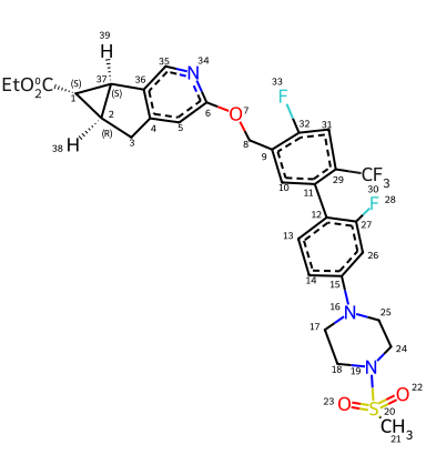 CCOC(=O)[C@H]1[C@@H]2Cc3cc(OCc4cc(-c5ccc(N6CCN(S(C)(=O)=O)CC6)cc5F)c(C(F)(F)F)cc4F)ncc3[C@@H]21